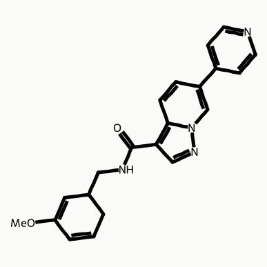 COC1=CC(CNC(=O)c2cnn3cc(-c4ccncc4)ccc23)CC=C1